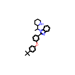 CC(C1CCCCN1)n1c(-c2cccc(Oc3ccc(C(C)(C)C)cc3)c2)nc2ccccc21